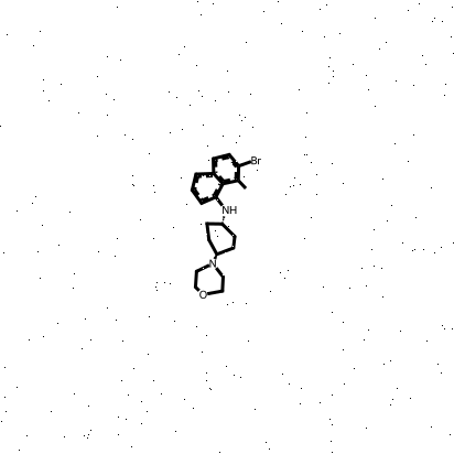 Cc1c(Br)ccc2cccc(N[C@H]3CC[C@H](N4CCOCC4)CC3)c12